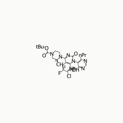 CCCc1ncnc(CCC)c1-n1c(=O)nc(N2CCN(C(=O)OC(C)(C)C)C[C@@H]2C)c2cc(F)c(Cl)[n+](O)c21